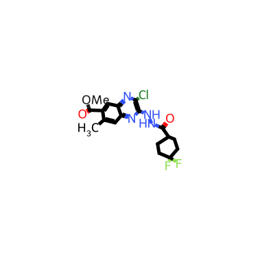 COC(=O)c1cc2nc(Cl)c(NNC(=O)C3CCC(F)(F)CC3)nc2cc1C